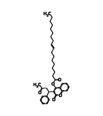 CCCCCCCCC=CCCCCCCCC(=O)Oc1c(C(CC(C)=O)c2ccccc2)c(=O)oc2ccccc12